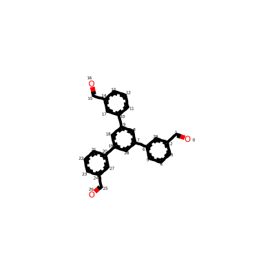 O=Cc1cccc(-c2cc(-c3cccc(C=O)c3)cc(-c3cccc(C=O)c3)c2)c1